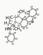 CC1=C(C)C([Si](C)(C)Nc2ccccc2)c2ccc3sc4ccccc4c3c21